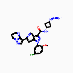 COc1ccc(Cl)cc1-n1nc(C(=O)N[C@H]2C[C@H](N=[N+]=[N-])C2)c2cnc(-c3cnn4cccnc34)cc21